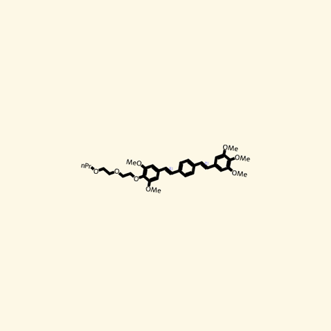 CCCOCCOCCOc1c(OC)cc(/C=C/c2ccc(/C=C/c3cc(OC)c(OC)c(OC)c3)cc2)cc1OC